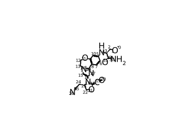 COC[C@H](Nc1ccc2c(c1)OCCn1cc(N3C(=C=O)OC[C@H]3CC#N)nc1-2)C(N)=O